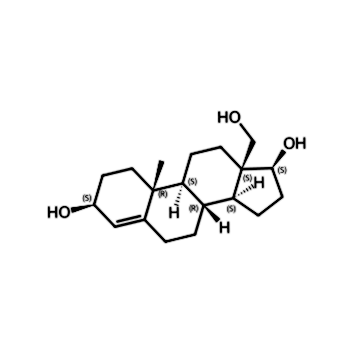 C[C@]12CC[C@H](O)C=C1CC[C@H]1[C@@H]3CC[C@H](O)[C@@]3(CO)CC[C@@H]12